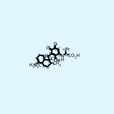 CC1=CCC[C@H]2[C@](C)(CC3=C(O)C(N[C@H](C(=O)O)C(C)C)=CC(=O)C3=O)[C@@H](C)CC[C@]12C